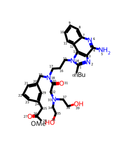 CCCCc1nc2c(N)nc3ccccc3c2n1CCCN(Cc1cccc(CC(=O)OC)c1)C(=O)CN(CCO)CCO